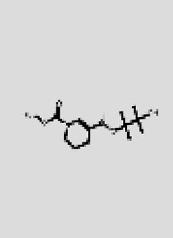 CC(C)(C)OC(=O)N1C=C(BOC(C)(C)C(C)(C)O)CCC1